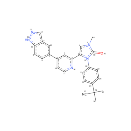 Cn1cc(-c2cc(-c3ccc4[nH]ncc4c3)ccn2)n(-c2ccc(C(C)(C)C#N)cc2)c1=O